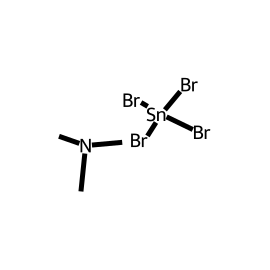 CN(C)C.[Br][Sn]([Br])([Br])[Br]